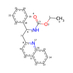 CCOC(=O)NC(Cc1ccc2ccccc2n1)c1ccccc1